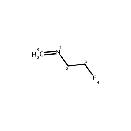 C=NCCF